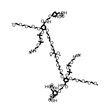 COCCOCCOCCOCCOc1cc(C(=O)NCCOc2ccc(CP(=O)(O)O)cc2)cc(OCCOCCOCCOCC(OC)C(COCCOCCOCCOc2cc(C(=O)NCCOc3cc(CP(=O)(O)O)cc(CP(=O)(O)O)c3)cc(OCCOCCOCCOCCOC)c2OCC(C)(C)COC(C)(C)COCCN=[N+]=[N-])OC)c1OCC(C)(C)COC(C)(C)COCCN=[N+]=[N-]